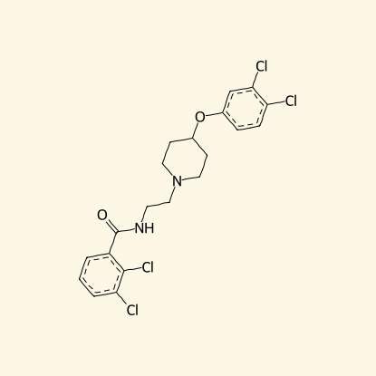 O=C(NCCN1CCC(Oc2ccc(Cl)c(Cl)c2)CC1)c1cccc(Cl)c1Cl